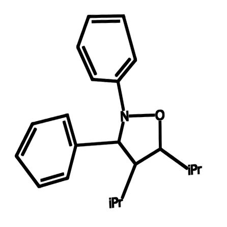 CC(C)C1ON(c2ccccc2)C(c2ccccc2)C1C(C)C